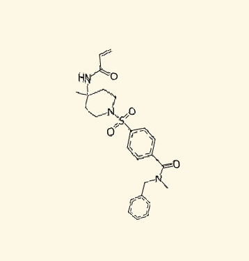 C=CC(=O)NC1(C)CCN(S(=O)(=O)c2ccc(C(=O)N(C)Cc3ccccc3)cc2)CC1